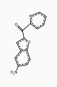 O=C(c1ccccn1)c1cc2cc([N+](=O)[O-])ccc2o1